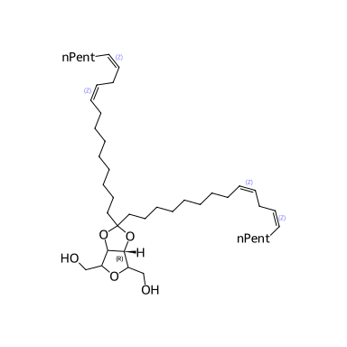 CCCCC/C=C\C/C=C\CCCCCCCCC1(CCCCCCCC/C=C\C/C=C\CCCCC)OC2C(CO)OC(CO)[C@H]2O1